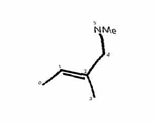 CC=C(C)CNC